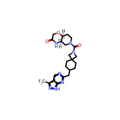 O=C1CO[C@H]2CCN(C(=O)N3CC4(CCC(Cc5ncc6c(C(F)(F)F)n[nH]c6n5)CC4)C3)C[C@H]2N1